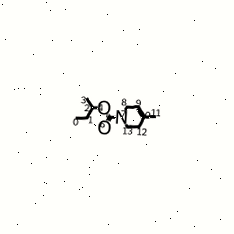 CCC(C)OC(=O)N1CC=C(C)CC1